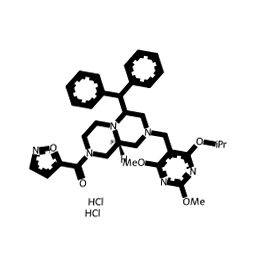 COc1nc(OC)c(CN2CC(C(c3ccccc3)c3ccccc3)N3CCN(C(=O)c4ccno4)C[C@H]3C2)c(OC(C)C)n1.Cl.Cl